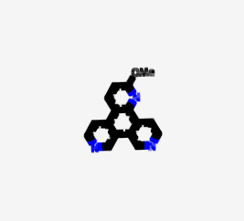 COc1ccc2c3ccncc3c3cnccc3c2n1